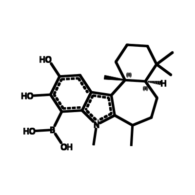 CC1CC[C@@H]2C(C)(C)CCC[C@@]2(C)c2c1n(C)c1c(B(O)O)c(O)c(O)cc21